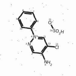 Nc1cn[n+](-c2ccccc2)cc1Cl.O=S(=O)([O-])O